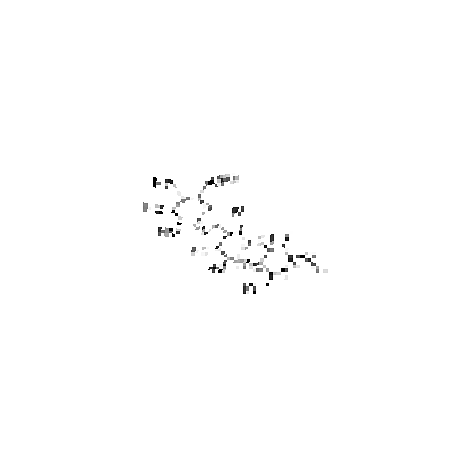 CCO[C@H]1OC(CO)[C@@H](O[C@@H]2OC(CO)C(CO[C@H]3OC(COC)C(O)C(O)C3O)C(O)C2O)C(O)C1C